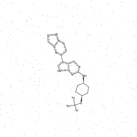 [2H]C([2H])([2H])O[C@H]1CC[C@@H](Nc2ncc3c(-c4ccn5nccc5n4)c[nH]c3n2)CC1